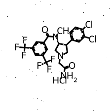 CN(C(=O)c1cc(C(F)(F)F)cc(C(F)(F)F)c1)C1CN(CC(N)=O)CC1c1ccc(Cl)c(Cl)c1.Cl